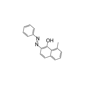 Cc1cccc2ccc(N=Nc3ccccc3)c(O)c12